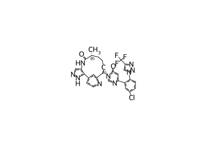 C[C@@H]1CCC[C@H](n2cnc(-c3cc(Cl)ccc3-n3cc(C(F)(F)F)nn3)cc2=O)c2cc(ccn2)-c2[nH]ncc2NC1=O